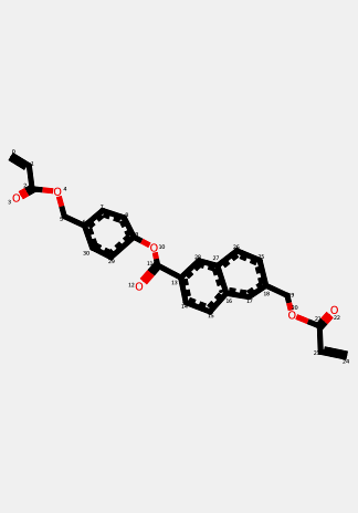 C=CC(=O)OCc1ccc(OC(=O)c2ccc3cc(COC(=O)C=C)ccc3c2)cc1